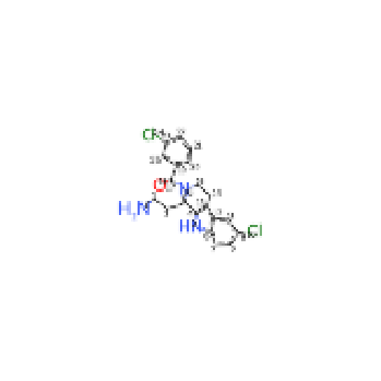 NCCC1c2[nH]c3ccc(Cl)cc3c2CCN1C(=O)c1cccc(Cl)c1